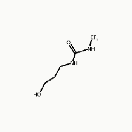 O=C(NCCCO)NC(F)(F)F